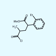 CCc1ccccc1C(CC(C)C(=O)Cl)C(=O)OC